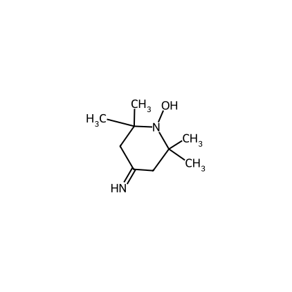 CC1(C)CC(=N)CC(C)(C)N1O